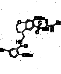 CCNC(=S)NS(=O)(=O)c1cc2c(cc1OC)OCCC2CNC(=O)c1cc(Br)ccc1OC